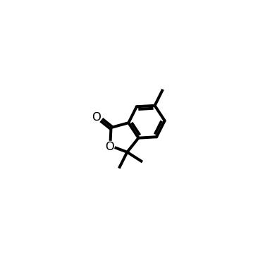 Cc1ccc2c(c1)C(=O)OC2(C)C